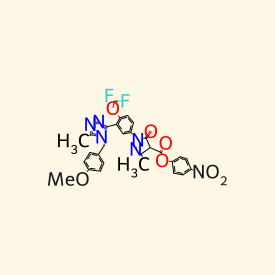 COc1ccc(Cn2c(C)nnc2-c2cc(N3N=C(C)C(C(=O)Oc4ccc([N+](=O)[O-])cc4)C3=O)ccc2OC(F)F)cc1